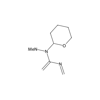 C=NC(=C)N(NC)C1CCCCO1